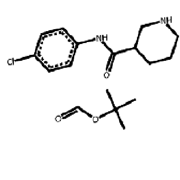 CC(C)(C)OC=O.O=C(Nc1ccc(Cl)cc1)C1CCCNC1